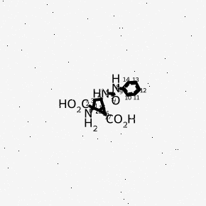 NC1(C(=O)O)CC(NC(=O)Nc2ccccc2)C2C(C(=O)O)C21